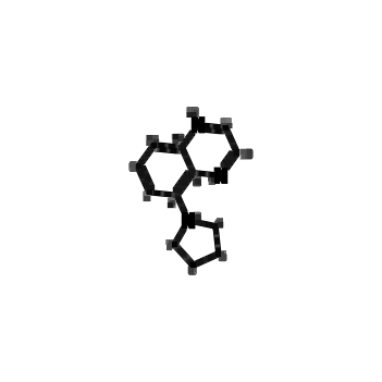 c1cc(N2CCCC2)c2nccnc2c1